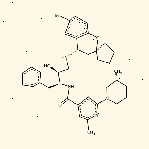 Cc1cc(C(=O)N[C@@H](Cc2ccccc2)[C@@H](O)CN[C@H]2CC3(CCCC3)Oc3ccc(Br)cc32)cc(N2CCC[C@@H](C)C2)n1